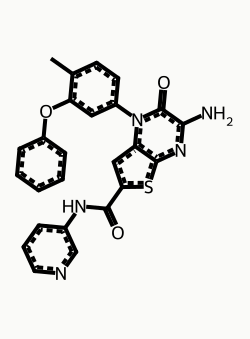 Cc1ccc(-n2c(=O)c(N)nc3sc(C(=O)Nc4cccnc4)cc32)cc1Oc1ccccc1